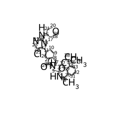 C[C@@H](NC(=O)CN1Cc2ccc(-c3nc(NC4CCOCC4)ncc3Cl)cc2C1=O)c1cccc(C(C)(C)C)c1